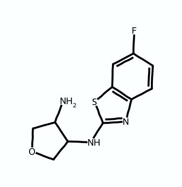 NC1COCC1Nc1nc2ccc(F)cc2s1